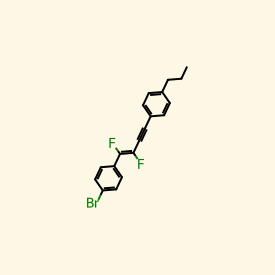 CCCc1ccc(C#CC(F)=C(F)c2ccc(Br)cc2)cc1